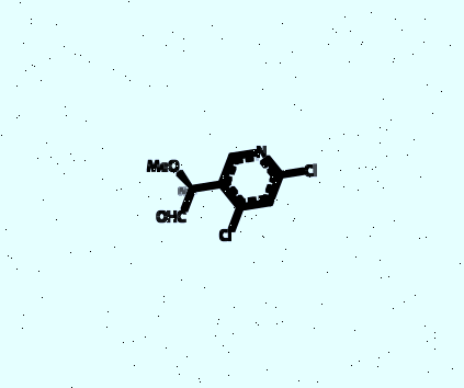 CO[C@H](C=O)c1cnc(Cl)cc1Cl